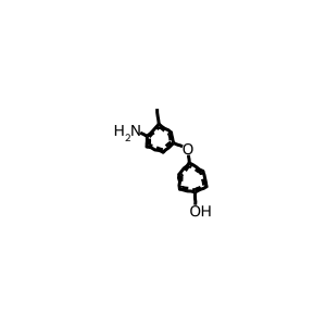 Cc1cc(Oc2ccc(O)cc2)ccc1N